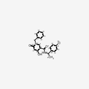 CC(NC(=O)c1cn(Cc2ccccc2)c(=O)cc1O)c1ccc(Cl)cc1